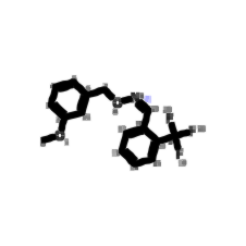 COc1cccc(CO/N=[C]\c2ccccc2C(F)(F)F)c1